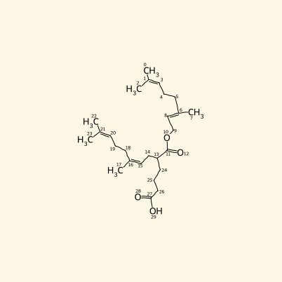 CC(C)=CCCC(C)=CCOC(=O)C(CC=C(C)CCC=C(C)C)CCCC(=O)O